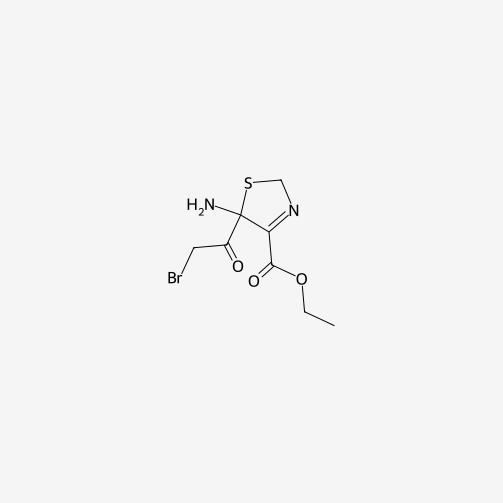 CCOC(=O)C1=NCSC1(N)C(=O)CBr